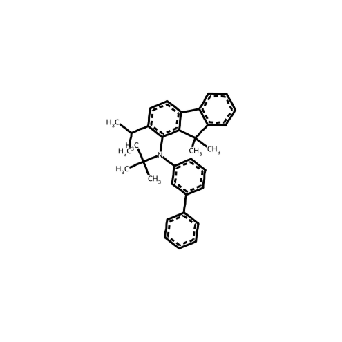 CC(C)c1ccc2c(c1N(c1cccc(-c3ccccc3)c1)C(C)(C)C)C(C)(C)c1ccccc1-2